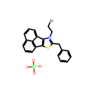 CC(=O)CC[n+]1c(Cc2ccccc2)sc2c1-c1cccc3cccc-2c13.[O-][Cl+3]([O-])([O-])[O-]